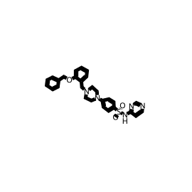 O=S(=O)(Nc1ccncn1)c1ccc(N2CCN(Cc3ccccc3OCc3ccccc3)CC2)cc1